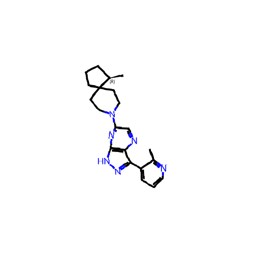 Cc1ncccc1-c1n[nH]c2nc(N3CCC4(CCC[C@H]4C)CC3)cnc12